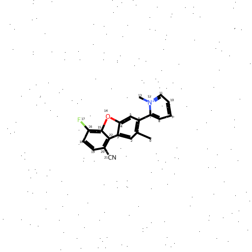 Cc1cc2c(cc1-c1cccc[n+]1C)oc1c(F)ccc(C#N)c12